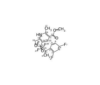 C=C(c1c(F)cc(F)cc1[C@H]1C(C(=O)OC)=C(C)NC2=C1C(=O)OC2)C(F)(F)F